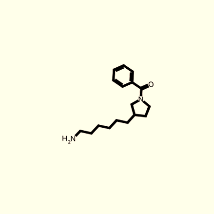 NCCCCCCC1CCN(C(=O)c2ccccc2)C1